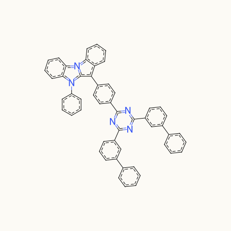 c1ccc(-c2cccc(-c3nc(-c4ccc(-c5c6ccccc6n6c7ccccc7n(-c7ccccc7)c56)cc4)nc(-c4cccc(-c5ccccc5)c4)n3)c2)cc1